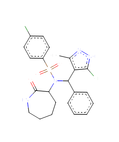 Cc1n[nH]c(Cl)c1C(c1ccccc1)N(C1CCCCNC1=O)S(=O)(=O)c1ccc(Cl)cc1